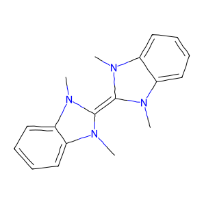 CN1C(=C2N(C)c3ccccc3N2C)N(C)c2ccccc21